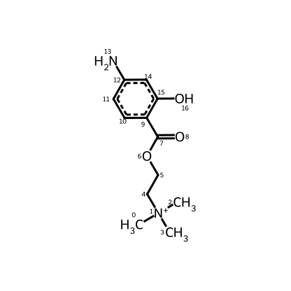 C[N+](C)(C)CCOC(=O)c1ccc(N)cc1O